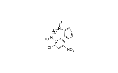 CCN(CC)c1ccccc1.N#CN(O)c1ccc([N+](=O)[O-])cc1Cl